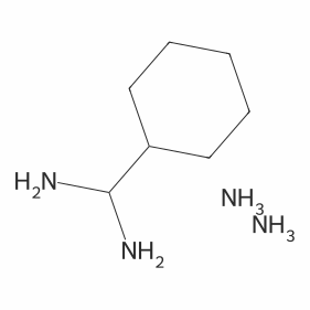 N.N.NC(N)C1CCCCC1